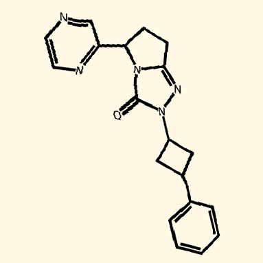 O=c1n(C2CC(c3ccccc3)C2)nc2n1C(c1cnccn1)CC2